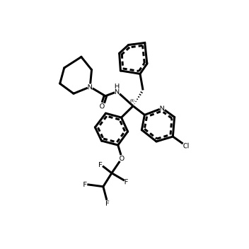 O=C(N[C@](Cc1ccccc1)(c1cccc(OC(F)(F)C(F)F)c1)c1ccc(Cl)cn1)N1CCCCC1